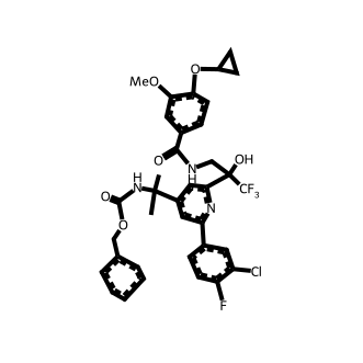 COc1cc(C(=O)NCC(O)(c2cc(C(C)(C)NC(=O)OCc3ccccc3)cc(-c3ccc(F)c(Cl)c3)n2)C(F)(F)F)ccc1OC1CC1